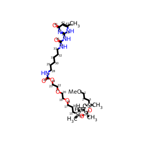 COCCC[Si](C)(C)O[Si](C)(C)O[Si](C)(C)CCCOCCOCCOC(=O)NCCCCCCNC(=O)Nc1nc(=O)cc(C)[nH]1